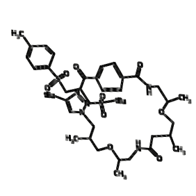 Cc1ccc(S(=O)(=O)CC(CS(=O)(=O)C(C)(C)C)C(=O)c2ccc(C(=O)NCC(C)OCC(C)CC(=O)NCC(C)OCC(C)Cn3cc(C(C)(C)C)nn3)cc2)cc1